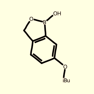 CCC(C)Oc1ccc2c(c1)B(O)OC2